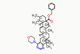 C[C@@H]1[C@H]2C3=CC[C@H]4[C@]5(C)Cc6c(N7CCOCC7)ncnc6C(C)(C)[C@H]5CC[C@]4(C)[C@]3(C)CC[C@@]2(C(=O)OCc2ccccc2)CC[C@@H]1C